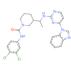 CC(Nc1nccc(-n2cnc3ccccc32)n1)C1CCCN(C(=O)Nc2ccc(Cl)c(Cl)c2)C1